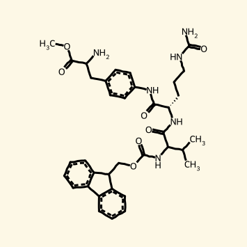 COC(=O)C(N)Cc1ccc(NC(=O)[C@H](CCCNC(N)=O)NC(=O)C(NC(=O)OCC2c3ccccc3-c3ccccc32)C(C)C)cc1